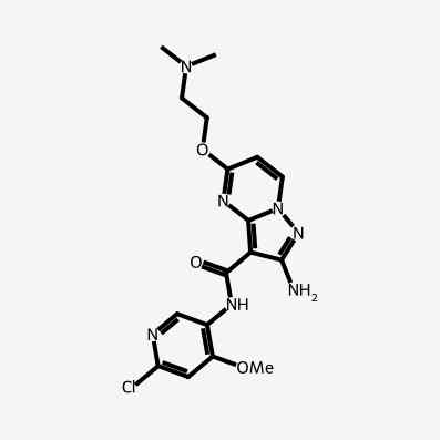 COc1cc(Cl)ncc1NC(=O)c1c(N)nn2ccc(OCCN(C)C)nc12